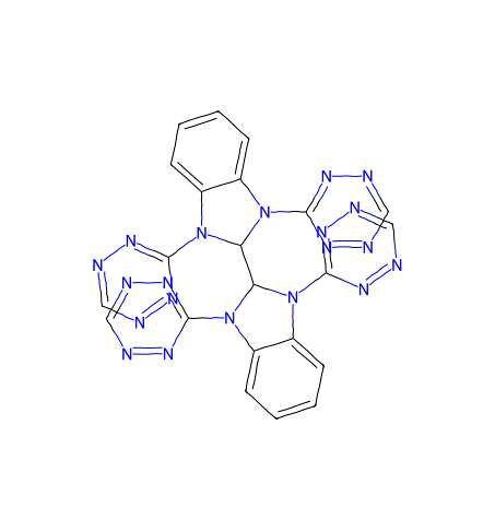 c1ccc2c(c1)N(c1nncnn1)C(C1N(c3nncnn3)c3ccccc3N1c1nncnn1)N2c1nncnn1